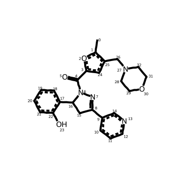 Cc1oc(C(=O)N2N=C(c3cccnc3)CC2c2ccccc2O)cc1CN1CCOCC1